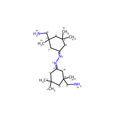 CC1(C)CC(=NN=C2CC(C)(C)CC(C)(CN)C2)CC(C)(CN)C1